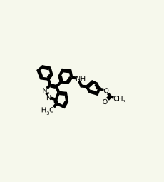 CC(=O)Oc1ccc(CNc2cccc(-c3c(-c4ccccc4)nnc4c(C)cccc34)c2)cc1